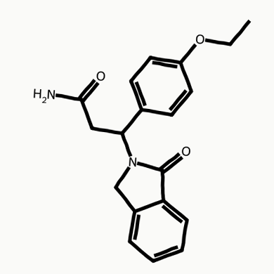 CCOc1ccc(C(CC(N)=O)N2Cc3ccccc3C2=O)cc1